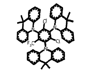 CC1(C)c2ccccc2N(c2c(Cl)c(N3c4ccccc4C(C)(C)c4ccccc43)c(C(F)(F)F)c(N3c4ccccc4C(C)(C)c4ccccc43)c2Cl)c2ccccc21